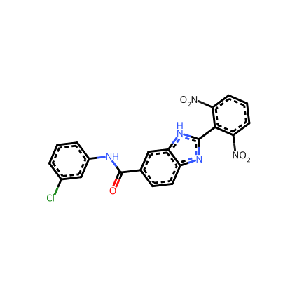 O=C(Nc1cccc(Cl)c1)c1ccc2nc(-c3c([N+](=O)[O-])cccc3[N+](=O)[O-])[nH]c2c1